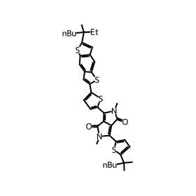 CCCCC(C)(C)c1ccc(C2=C3C(=O)N(C)C(c4ccc(-c5cc6cc7sc(C(C)(CC)CCCC)cc7cc6s5)s4)=C3C(=O)N2C)s1